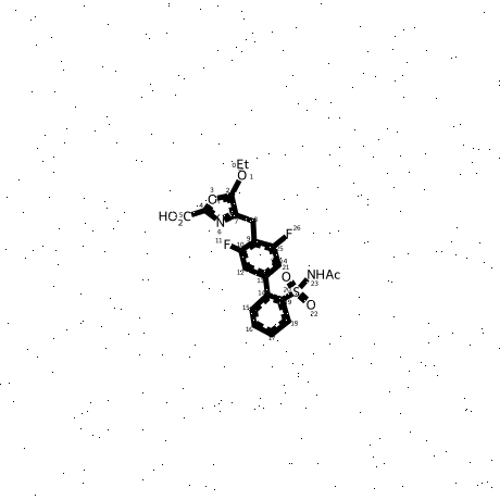 CCOc1oc(C(=O)O)nc1Cc1c(F)cc(-c2ccccc2S(=O)(=O)NC(C)=O)cc1F